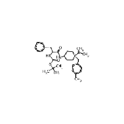 Cc1ccc(CC2(N(C)C)CCC(NC(=O)C(Cc3ccccc3)NC(=O)OC(C)(C)C)CC2)cc1